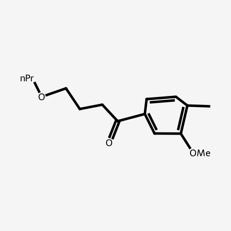 CCCOCCCC(=O)c1ccc(C)c(OC)c1